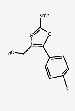 CSc1nc(CO)c(-c2ccc(F)cc2)o1